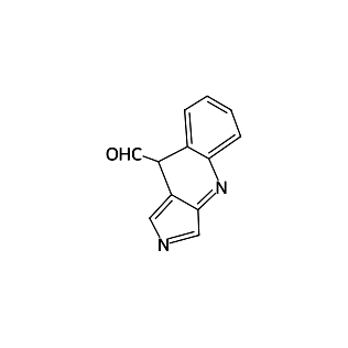 O=CC1C2=CN=CC2=Nc2ccccc21